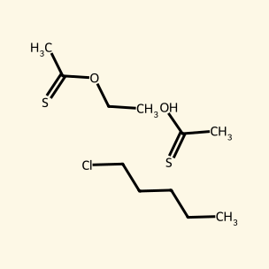 CC(O)=S.CCCCCCl.CCOC(C)=S